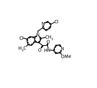 COc1cc(NC(=O)C(=O)c2c(C)n(Cc3ccc(Cl)cn3)c3cc(Cl)c(C)cc23)ccn1